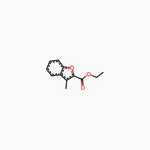 CCOC(=O)c1oc2ccccc2c1C